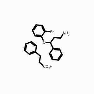 NCCC(Oc1ccccc1Br)c1ccccc1.O=C(O)CCc1ccccc1